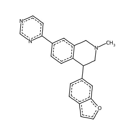 CN1Cc2cc(-c3ccncn3)ccc2C(c2ccc3ccoc3c2)C1